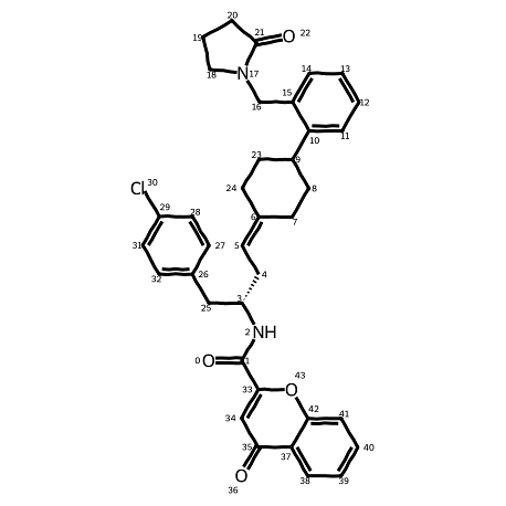 O=C(N[C@@H](CC=C1CCC(c2ccccc2CN2CCCC2=O)CC1)Cc1ccc(Cl)cc1)c1cc(=O)c2ccccc2o1